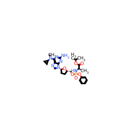 CC(C)OC(=O)[C@@H](C)N[P@@](=O)(OC[C@@H]1CC[C@H](n2cnc3c(N(C)C4CC4)nc(N)nc32)O1)Oc1ccccc1